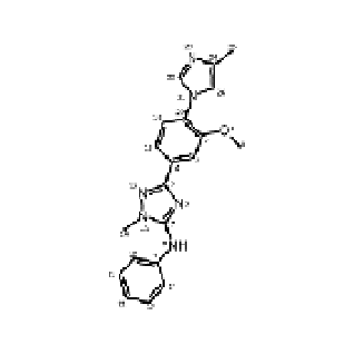 COc1cc(-c2nc(Nc3ccccc3)n(C)n2)ccc1-n1cnc(C)c1